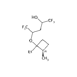 CCC1(OC(CC(O)C(F)(F)F)C(F)(F)F)CC[C@H]1C